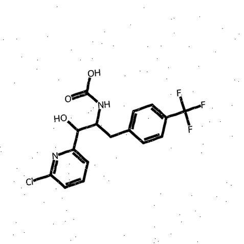 O=C(O)NC(Cc1ccc(C(F)(F)F)cc1)C(O)c1cccc(Cl)n1